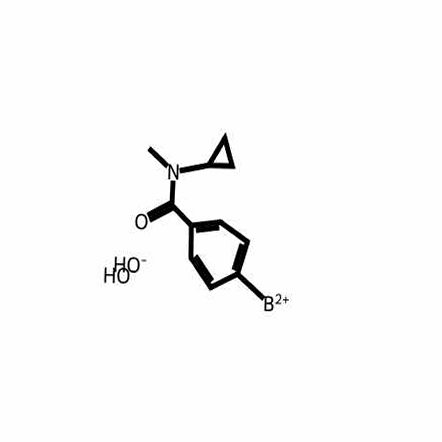 [B+2]c1ccc(C(=O)N(C)C2CC2)cc1.[OH-].[OH-]